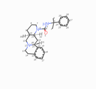 CC(C)(NC(=O)N1CCC[C@@H]2CN3CCc4ccccc4[C@H]3C[C@@H]21)c1ccccc1